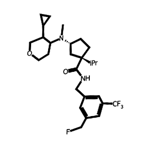 CC(C)[C@]1(C(=O)NCc2cc(CF)cc(C(F)(F)F)c2)CC[C@@H](N(C)C2CCOCC2C2CC2)C1